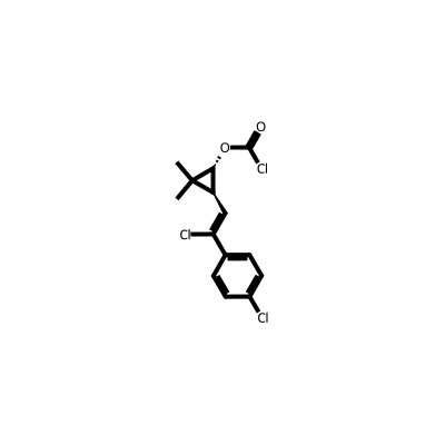 CC1(C)[C@H](/C=C(\Cl)c2ccc(Cl)cc2)[C@H]1OC(=O)Cl